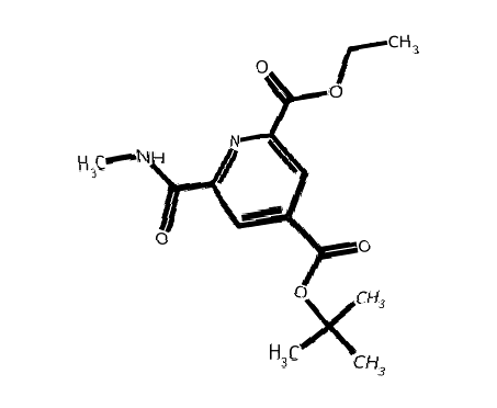 CCOC(=O)c1cc(C(=O)OC(C)(C)C)cc(C(=O)NC)n1